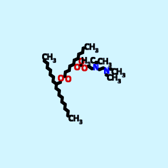 CCCCCCCCCCC(CCCCCCCC)COC(=O)CCCC(CCCCCC)OC(=O)OCCN(CCN(CC)CC)C(C)C